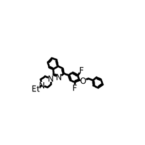 CCN1CCN(c2nc(-c3cc(F)c(OCc4ccccc4)c(F)c3)cc3ccccc23)CC1